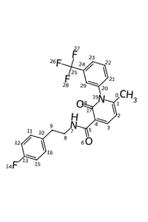 Cc1ccc(C(=O)NCCc2ccc(F)cc2)c(=O)n1-c1cccc(C(F)(F)F)c1